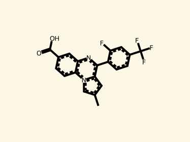 Cc1cc2c(-c3ccc(C(F)(F)F)cc3F)nc3cc(C(=O)O)ccc3n2c1